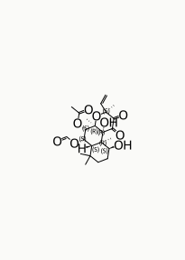 C=C[C@]1(C)O[C@]2(C)[C@@H](OC(C)=O)[C@@H](OC=O)[C@H]3C(C)(C)CC[C@H](O)[C@]3(C)[C@]2(O)C(=O)C1=O